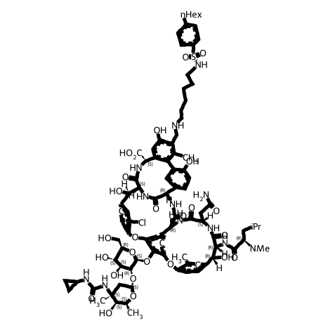 CCCCCCc1ccc(S(=O)(=O)NCCCCCCNCc2c(O)cc3c(c2C)-c2cc(ccc2O)[C@H]2NC(=O)[C@@H]4NC(=O)[C@H](CC(N)=O)NC(=O)[C@H](NC(=O)[C@@H](CC(C)C)NC)[C@H](O)c5ccc(c(C)c5)Oc5cc4cc(c5O[C@@H]4O[C@H](CO)[C@@H](O)[C@H](O)[C@H]4O[C@H]4C[C@](C)(NC(=O)NC5CC5)[C@H](O)[C@H](C)O4)Oc4ccc(cc4Cl)[C@@H](O)[C@H](NC2=O)C(=O)N[C@@H]3C(=O)O)cc1